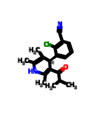 CC1=C(C)[C@@H](c2cccc(C#N)c2Cl)C(C(=O)C(C)C)=C(C)N1